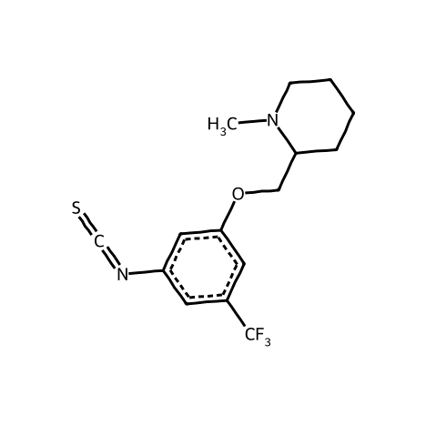 CN1CCCCC1COc1cc(N=C=S)cc(C(F)(F)F)c1